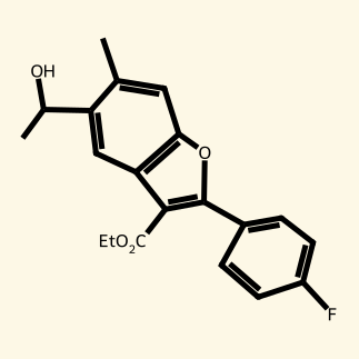 CCOC(=O)c1c(-c2ccc(F)cc2)oc2cc(C)c(C(C)O)cc12